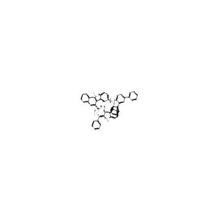 c1ccc(-c2ccc3c(c2)c2ccccc2n3-c2ccc3oc4c5ccccc5cc(-c5nc(-c6ccccc6)c6sc7ccccc7c6n5)c4c3c2)cc1